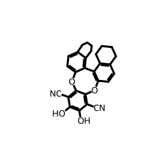 N#Cc1c(O)c(O)c(C#N)c2oc3ccc4c(c3c3c5c(ccc3oc12)CCCC5)CCCC4